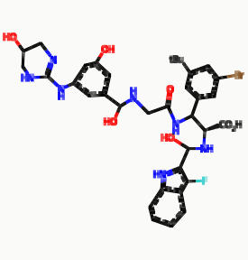 CC(C)(C)c1cc(Br)cc(C(NC(=O)CNC(O)c2cc(O)cc(NC3=NCC(O)CN3)c2)[C@H](NC(O)c2[nH]c3ccccc3c2F)C(=O)O)c1